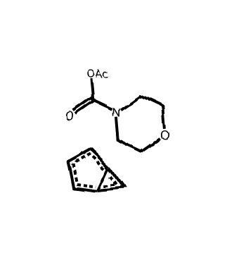 CC(=O)OC(=O)N1CCOCC1.c1cc2cc-2c1